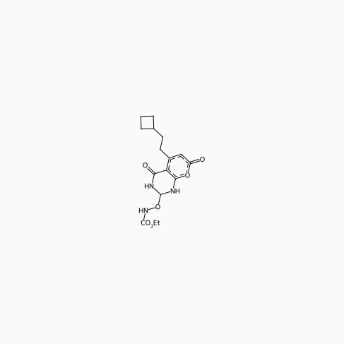 CCOC(=O)NOC1NC(=O)c2c(CCC3CCC3)cc(=O)oc2N1